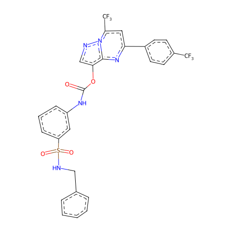 O=C(Nc1cccc(S(=O)(=O)NCc2ccccc2)c1)Oc1cnn2c(C(F)(F)F)cc(-c3ccc(C(F)(F)F)cc3)nc12